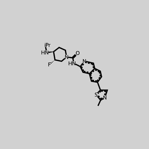 Cc1ncc(-c2ccc3cnc(NC(=O)N4CC[C@H](NC(C)C)[C@@H](F)C4)cc3c2)s1